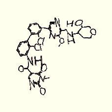 COc1nc(-c2cccc(-c3cccc(NC(=O)c4cn(C)c(=O)n(C)c4=O)c3Cl)c2Cl)cnc1CNC1CCOCC1O